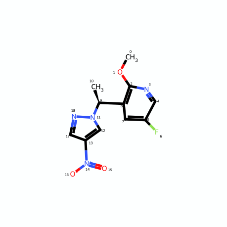 COc1ncc(F)cc1[C@H](C)n1cc([N+](=O)[O-])cn1